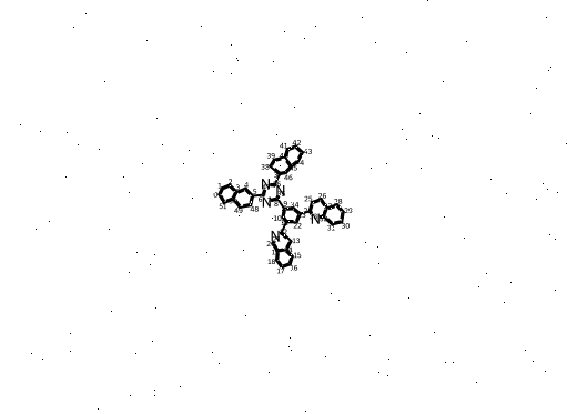 c1ccc2cc(-c3nc(-c4cc(-c5cc6ccccc6cn5)cc(-c5ccc6ccccc6n5)c4)nc(-c4ccc5ccccc5c4)n3)ccc2c1